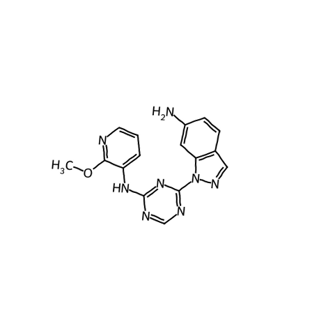 COc1ncccc1Nc1ncnc(-n2ncc3ccc(N)cc32)n1